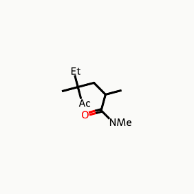 CCC(C)(CC(C)C(=O)NC)C(C)=O